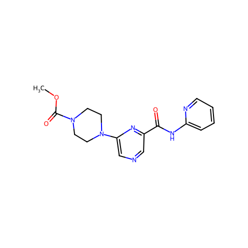 COC(=O)N1CCN(c2cncc(C(=O)Nc3ccccn3)n2)CC1